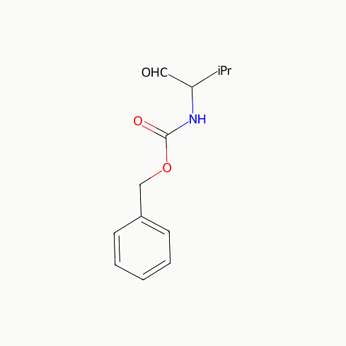 CC(C)C(C=O)NC(=O)OCc1ccccc1